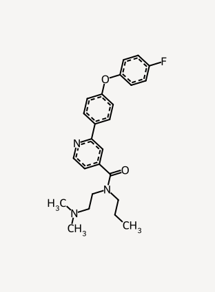 CCCN(CCN(C)C)C(=O)c1ccnc(-c2ccc(Oc3ccc(F)cc3)cc2)c1